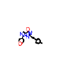 Cc1ccc(C#Cc2nn3c(C4CCOCC4)ncc3c(=O)n2C)cc1